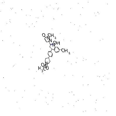 Cc1ccc(C(C/C(=N/O)c2ccc(=O)n(C)n2)c2ccc(C3CCN(S(C)(=O)=O)CC3)cc2)cc1